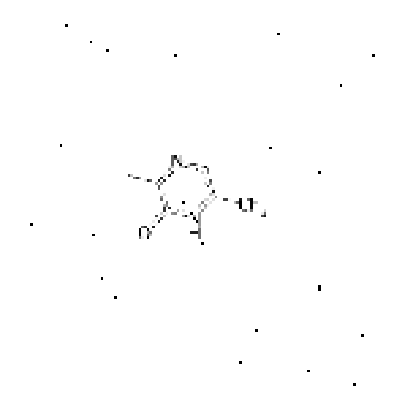 Cc1ncc(C(F)(F)F)[nH]c1=O